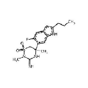 CCCc1cc2cc(F)c([C@]3(C)CS(=O)(=O)N(C)C(=N)N3)cc2[nH]1